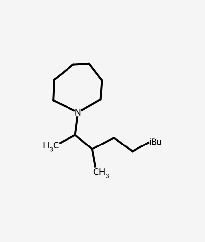 CCC(C)CCC(C)C(C)N1CCCCCC1